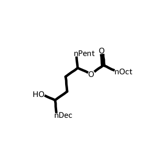 CCCCCCCCCCC(O)CCC(CCCCC)OC(=O)CCCCCCCC